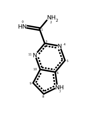 N=C(N)c1ncc2[nH]ccc2n1